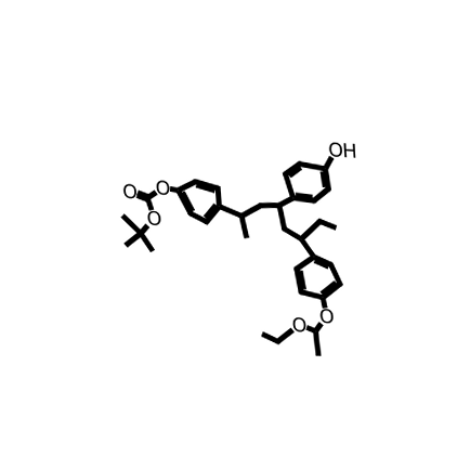 CCOC(C)Oc1ccc(C(CC)CC(CC(C)c2ccc(OC(=O)OC(C)(C)C)cc2)c2ccc(O)cc2)cc1